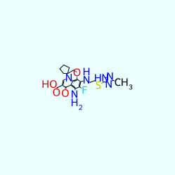 Cc1n[nH]c(SCCNc2c(F)c(N)c3c(=O)c(C(=O)O)cn4c3c2OCC42CCCC2)n1